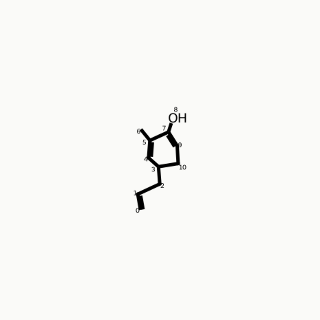 C=CCC1C=C(C)C(O)=CC1